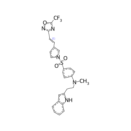 CN(CCc1cc2ccccc2[nH]1)c1ccc(S(=O)(=O)n2ccc(/C=C/c3noc(C(F)(F)F)n3)c2)cc1